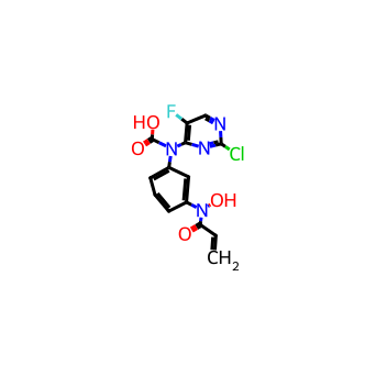 C=CC(=O)N(O)c1cccc(N(C(=O)O)c2nc(Cl)ncc2F)c1